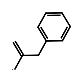 [CH2]C(=C)Cc1ccccc1